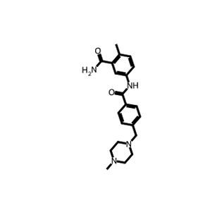 Cc1ccc(NC(=O)c2ccc(CN3CCN(C)CC3)cc2)cc1C(N)=O